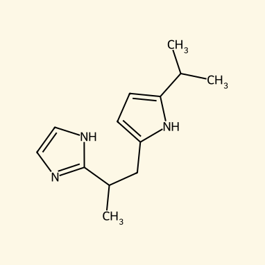 CC(C)c1ccc(CC(C)c2ncc[nH]2)[nH]1